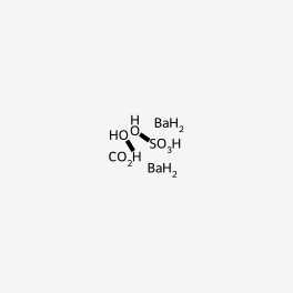 O=C(O)O.O=S(=O)(O)O.[BaH2].[BaH2]